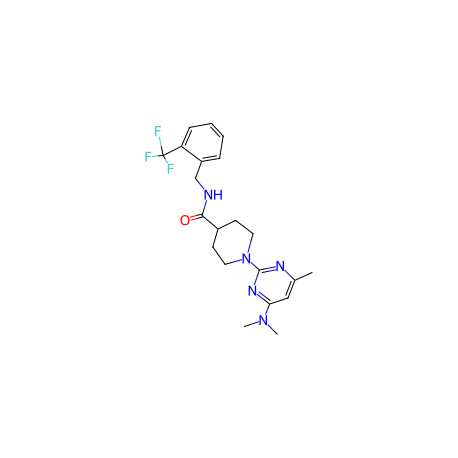 Cc1cc(N(C)C)nc(N2CCC(C(=O)NCc3ccccc3C(F)(F)F)CC2)n1